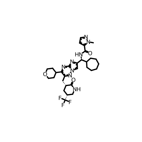 Cn1nccc1C(=O)N[C@H](c1cn2nc(C[C@H]3C[C@@H](C(F)(F)F)CNC3=O)c(C3CCOCC3)nc2n1)C1CCCCCC1